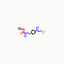 CC(C)(C)OC(=O)NCCc1ccc(NCCCl)cc1